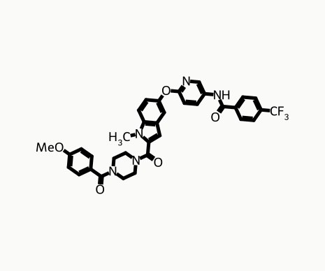 COc1ccc(C(=O)N2CCN(C(=O)c3cc4cc(Oc5ccc(NC(=O)c6ccc(C(F)(F)F)cc6)cn5)ccc4n3C)CC2)cc1